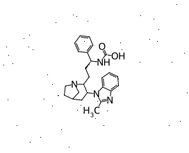 Cc1nc2ccccc2n1C1CC2CCN(C2)C1CC[C@H](NC(=O)O)c1ccccc1